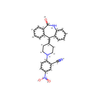 N#Cc1cc([N+](=O)[O-])ccc1N1CCC(=C2c3ccccc3NC(=O)c3ccccc32)CC1